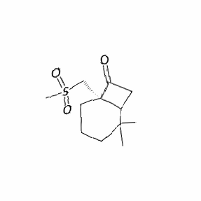 CC1(C)CCC[C@@]2(CS(C)(=O)=O)C(=O)CC12